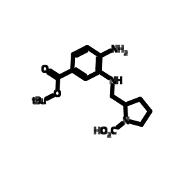 CC(C)(C)OC(=O)c1ccc(N)c(NCC2CCCN2C(=O)O)c1